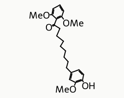 COc1cc(CCCCCCCCC(=O)c2c(OC)cccc2OC)ccc1O